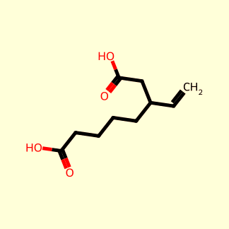 C=CC(CCCCC(=O)O)CC(=O)O